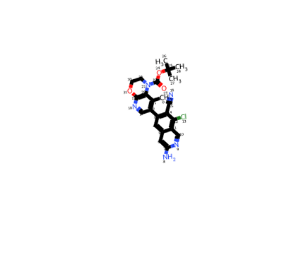 Cc1c(-c2cc3cc(N)ncc3c(Cl)c2C#N)cnc2c1N(C(=O)OC(C)(C)C)CCO2